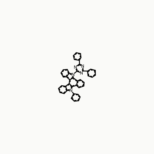 c1ccc(-c2nc(-c3ccccc3)nc(-n3c4ccccc4c4c5c6ccccc6n(-c6ccccc6)c5c5ccccc5c43)n2)cc1